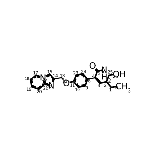 CCC(C=C(C(N)=O)c1ccc(OCc2cn3ccccc3n2)cc1)CO